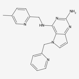 Cc1ccc(CNc2nc(N)nc3ccn(Cc4ccccn4)c23)nc1